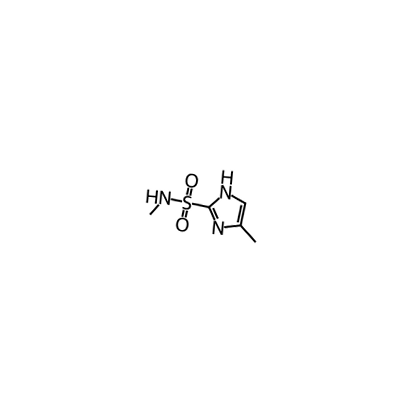 CNS(=O)(=O)c1nc(C)c[nH]1